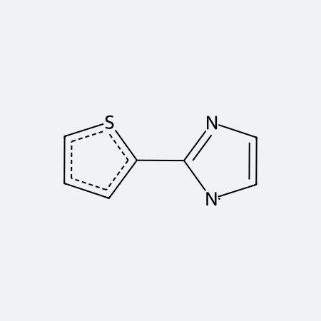 C1=CN=C(c2cccs2)[N]1